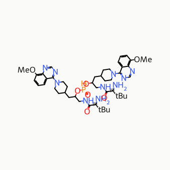 COc1cccc2c(N3CCC(CC(CNC(=O)[C@@H](N)C(C)(C)C)O[PH](=O)OC(CNC(=O)[C@@H](N)C(C)(C)C)CC4CCN(c5ncnc6c(OC)cccc56)CC4)CC3)ncnc12